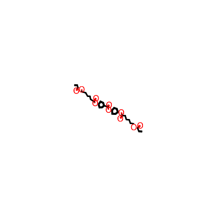 C=CC(=O)OCCCCCC(=O)Oc1ccc(OC(=O)c2ccc(OC(=O)CCCCCOC(=O)C=C)cc2)cc1